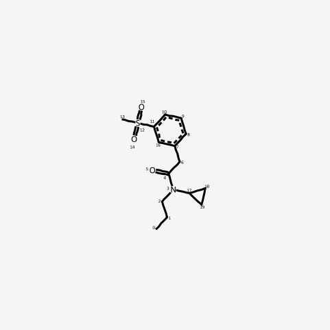 CCCN(C(=O)Cc1cccc(S(C)(=O)=O)c1)C1CC1